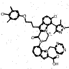 Cc1cc(OCCCc2c3n(c4c(-c5c(C)nn(C)c5C)c(Cl)ccc24)[C@H](C)CN(c2cccc4cc(C(=O)O)n(Cc5ccncn5)c24)C3=O)cc(C)c1Cl